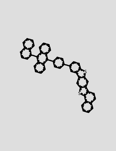 c1ccc2c(-c3c4ccccc4c(-c4ccc(-c5ccc6sc7cc8c(cc7c6c5)sc5c6ccccc6ccc85)cc4)c4ccccc34)cccc2c1